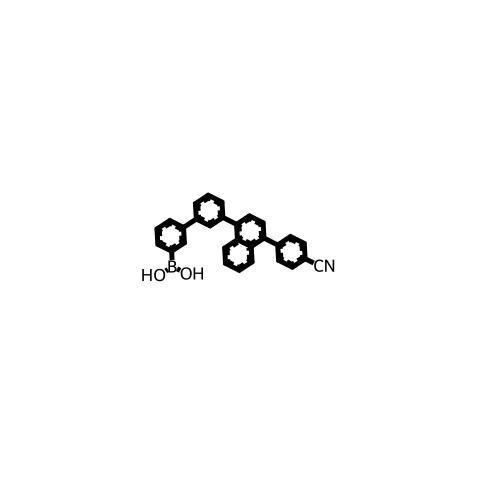 N#Cc1ccc(-c2ccc(-c3cccc(-c4cccc(B(O)O)c4)c3)c3ccccc23)cc1